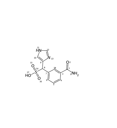 NC(=O)c1cccc(C(c2c[nH]cn2)S(=O)(=O)O)c1